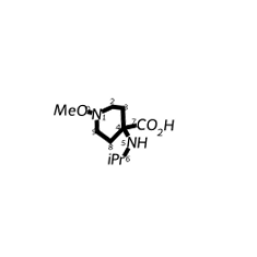 CON1CCC(NC(C)C)(C(=O)O)CC1